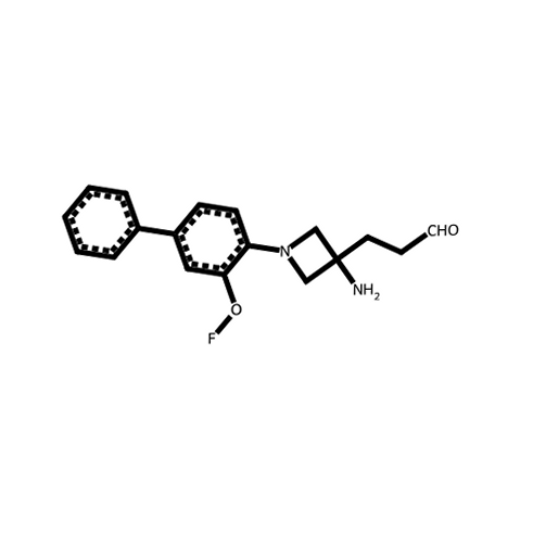 NC1(CCC=O)CN(c2ccc(-c3ccccc3)cc2OF)C1